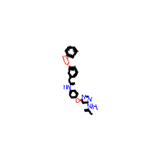 C=C(C)Nc1cc(Oc2ccc(NC(=C)Cc3cccc(Oc4ccccc4)c3)cc2)ncn1